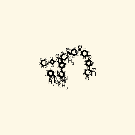 CC(C)n1cnc2cc(-c3ccc4c(c3)N([C@H]3C[C@@H](N5CCCCC5)C3)C(=O)C43CCN(C(=O)C4(C)CCN(C(=O)[C@H]5CC[C@H](Oc6ccc(N7CCC(=O)NC7=O)cn6)CC5)CC4)CC3)nc(Nc3ccccc3F)c21